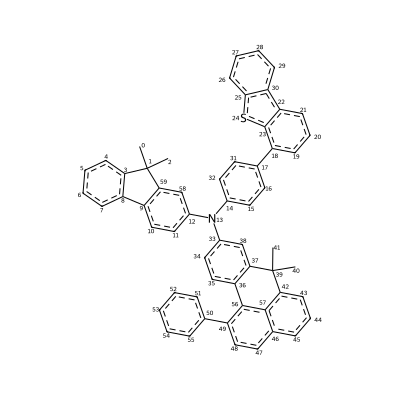 CC1(C)c2ccccc2-c2ccc(N(c3ccc(-c4cccc5c4sc4ccccc45)cc3)c3ccc4c(c3)C(C)(C)c3cccc5ccc(-c6ccccc6)c-4c35)cc21